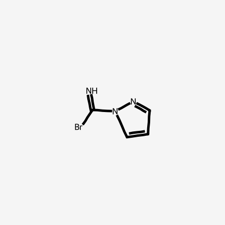 N=C(Br)n1cccn1